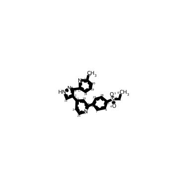 CCS(=O)(=O)c1ccc(-c2cc(-c3c[nH]nc3-c3cccc(C)n3)ccn2)cc1